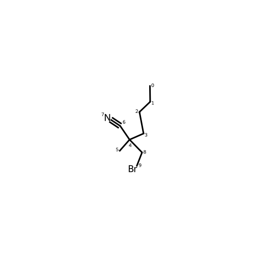 CCCCC(C)(C#N)CBr